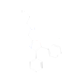 CCCNCc1nc(-c2ccccc2)c(-c2ccccc2)o1.Cl